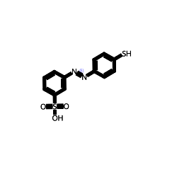 O=S(=O)(O)c1cccc(/N=N/c2ccc(S)cc2)c1